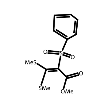 COC(=O)C(=C(SC)SC)S(=O)(=O)c1ccccc1